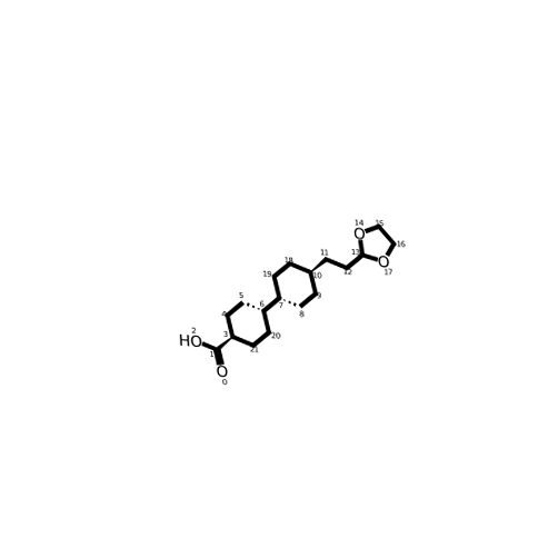 O=C(O)[C@H]1CC[C@H]([C@H]2CC[C@H](CCC3OCCO3)CC2)CC1